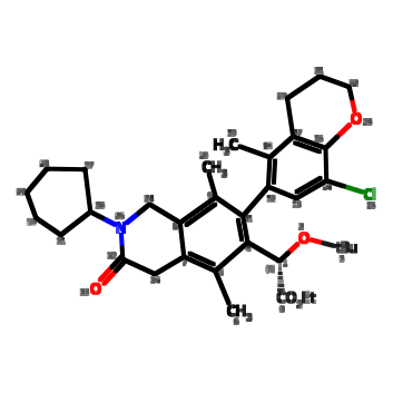 CCOC(=O)[C@@H](OC(C)(C)C)c1c(C)c2c(c(C)c1-c1cc(Cl)c3c(c1C)CCCO3)CN(C1CCCCC1)C(=O)C2